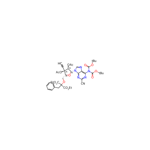 C#C[C@@]1(OC(C)=O)[C@@H](COC(Cc2ccccc2)(C(=O)OCC)C(=O)OCC)O[C@@H](n2cnc3c(N(C(=O)OC(C)(C)C)C(=O)OC(C)(C)C)nc(C#N)nc32)[C@@H]1OC(C)=O